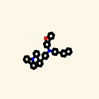 c1ccc(-c2ccccc2-n2c3ccccc3c3ccccc32)c(-c2ccc(N(c3ccc(-c4ccc5ccccc5c4)cc3)c3ccc4oc5ccccc5c4c3)cc2)c1